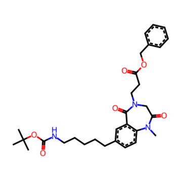 CN1C(=O)CN(CCC(=O)OCc2ccccc2)C(=O)c2cc(CCCCCNC(=O)OC(C)(C)C)ccc21